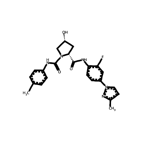 Cc1ccc(NC(=O)N2C[C@H](O)C[C@@H]2C(=O)Nc2ccc(-n3ccc(C)n3)cc2F)cc1